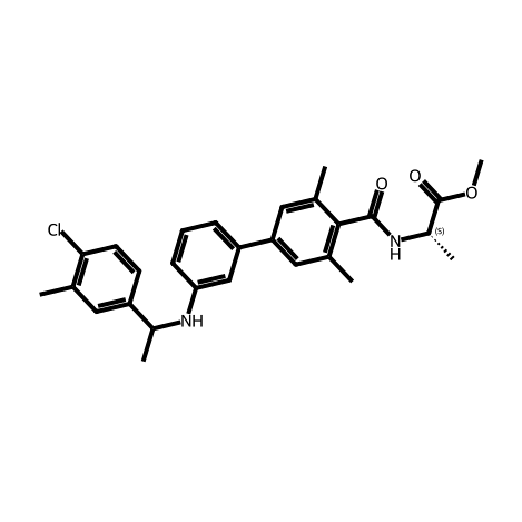 COC(=O)[C@H](C)NC(=O)c1c(C)cc(-c2cccc(NC(C)c3ccc(Cl)c(C)c3)c2)cc1C